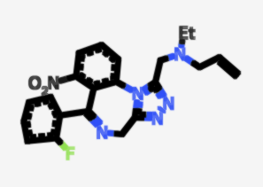 C=CCN(CC)Cc1nnc2n1-c1cccc([N+](=O)[O-])c1C(c1ccccc1F)=NC2